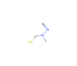 C=NN(C)CS